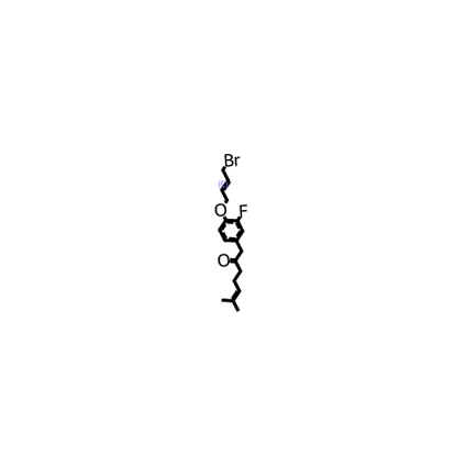 CC(C)=CCCC(=O)Cc1ccc(OC/C=C/CBr)c(F)c1